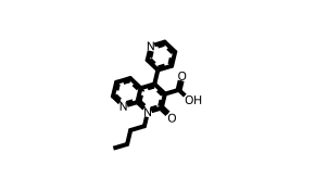 CCCCn1c(=O)c(C(=O)O)c(-c2cccnc2)c2cccnc21